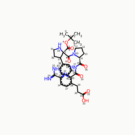 CC(C)(C)OC(=O)[C@]1(C(=O)N2CCC[C@H]2C(=O)NC(=O)c2nc(C(=N)N)ccc2CCC(=O)O)NCCC1c1ccccc1